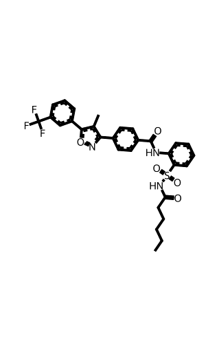 CCCCCC(=O)NS(=O)(=O)c1ccccc1NC(=O)c1ccc(-c2noc(-c3cccc(C(F)(F)F)c3)c2C)cc1